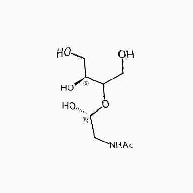 CC(=O)NC[C@H](O)OC(CO)[C@@H](O)CO